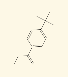 C=C(CC)c1ccc(C(C)(C)C)cc1